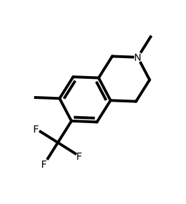 Cc1cc2c(cc1C(F)(F)F)CCN(C)C2